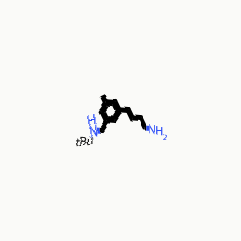 Cc1cc(CCCCN)cc(CNC(C)(C)C)c1